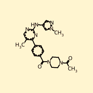 CC(=O)N1CCN(C(=O)c2ccc(-c3nc(Nc4cnn(C)c4)ncc3C)cc2)CC1